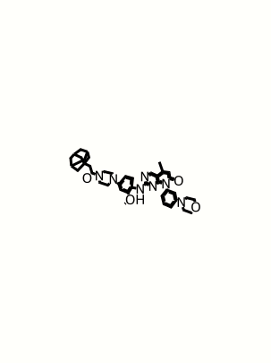 COc1cc(N2CCN(C(=O)CC34CC5CC(CC(C5)C3)C4)CC2)ccc1Nc1ncc2c(C)cc(=O)n(-c3cccc(N4CCOCC4)c3)c2n1